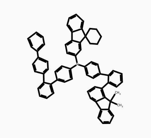 CC1(C)c2ccccc2-c2cccc(-c3ccccc3-c3ccc(N(c4ccc(-c5ccccc5-c5ccc(-c6ccccc6)cc5)cc4)c4ccc5c(c4)C4(CCCCC4)c4ccccc4-5)cc3)c21